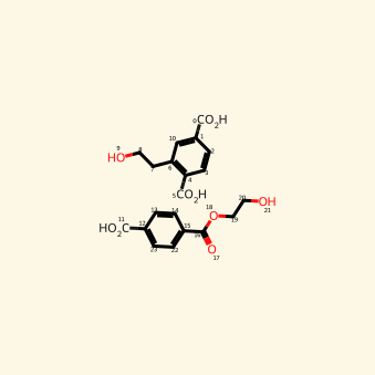 O=C(O)c1ccc(C(=O)O)c(CCO)c1.O=C(O)c1ccc(C(=O)OCCO)cc1